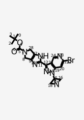 CC(C)(C)OC(=O)N1Cc2nc(-c3nn(C45CN4C5)c4cc(Br)ncc34)[nH]c2C1